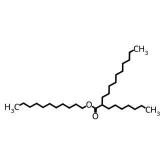 CCCCCCCCCCCOC(=O)C(CCCCCCC)CCCCCCCCCC